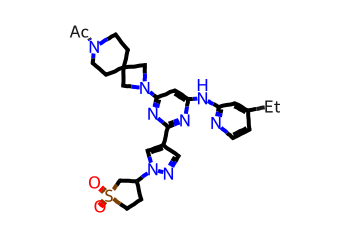 CCc1ccnc(Nc2cc(N3CC4(CCN(C(C)=O)CC4)C3)nc(-c3cnn(C4CCS(=O)(=O)C4)c3)n2)c1